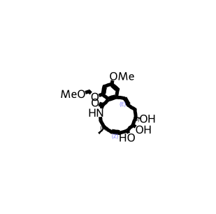 COCOc1cc(OC)cc2c1C(=O)NC[C@H](C)/C=C\C(O)C(O)[C@@H](O)C/C=C/2